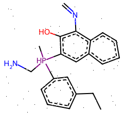 C=Nc1c(O)c([PH](C)(CN)c2cccc(CC)c2)cc2ccccc12